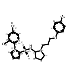 CC(=O)c1ccc(OCCCN2CCCC2NS(=O)(=O)c2cccn2-c2ncc(C(F)(F)F)cc2Cl)cc1